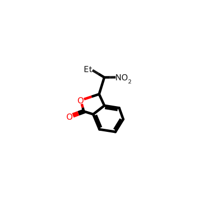 CCC(C1OC(=O)c2ccccc21)[N+](=O)[O-]